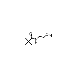 CC(C)(C)C(=O)NCCOI